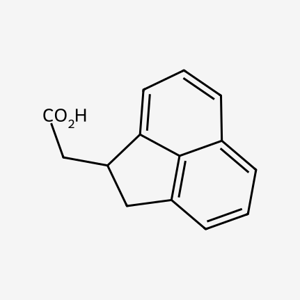 O=C(O)CC1Cc2cccc3cccc1c23